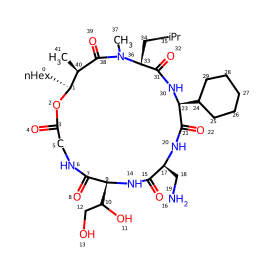 CCCCCC[C@H]1OC(=O)CNC(=O)[C@H](C(O)CO)NC(=O)[C@H](CN)NC(=O)[C@H](C2CCCCC2)NC(=O)[C@H](CC(C)C)N(C)C(=O)[C@@H]1C